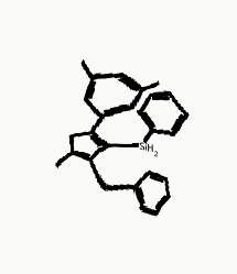 CC1=C(Cc2ccccc2)C([SiH2]c2ccccc2)=C(c2cc(C)cc(C)c2)C1